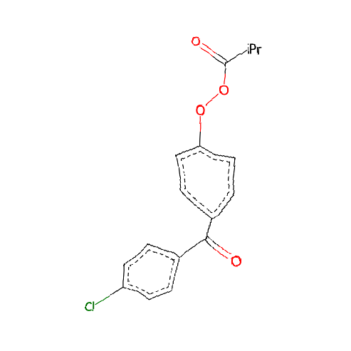 CC(C)C(=O)OOc1ccc(C(=O)c2ccc(Cl)cc2)cc1